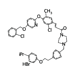 Br.Cc1cc(C=CC(=O)N2CCN(Cc3ccc(CCOc4ccc(C(C)C)cc4)cc3)CC2)c(Cl)cc1Oc1ccc(OCc2ccccc2Cl)cn1